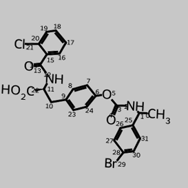 CC(NC(=O)Oc1ccc(C[C@H](NC(=O)c2ccccc2Cl)C(=O)O)cc1)c1ccc(Br)cc1